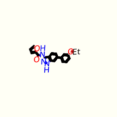 CCOc1cccc(-c2ccc3c(NC(=O)c4ccco4)n[nH]c3c2)c1